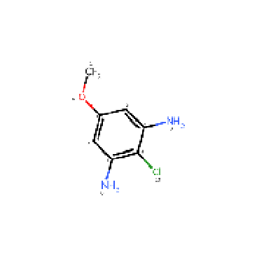 Nc1cc(OC(F)(F)F)cc(N)c1Cl